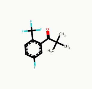 CC(C)(C)C(=O)c1cc(F)ccc1C(F)(F)F